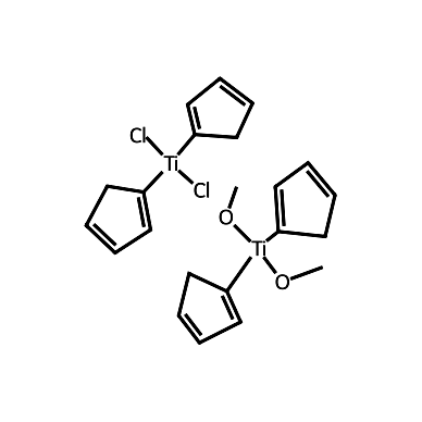 C[O][Ti]([O]C)([C]1=CC=CC1)[C]1=CC=CC1.[Cl][Ti]([Cl])([C]1=CC=CC1)[C]1=CC=CC1